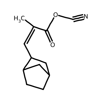 CC(=CC1CC2CCC1C2)C(=O)OC#N